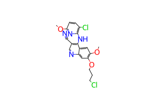 COc1ccc(Cl)c(Nc2c(C#N)cnc3cc(OCCCCl)c(OC)cc23)n1